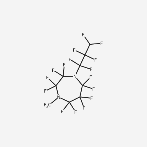 FC(F)C(F)(F)C(F)(F)N1C(F)(F)C(F)(F)N(C(F)(F)F)C(F)(F)C(F)(F)C1(F)F